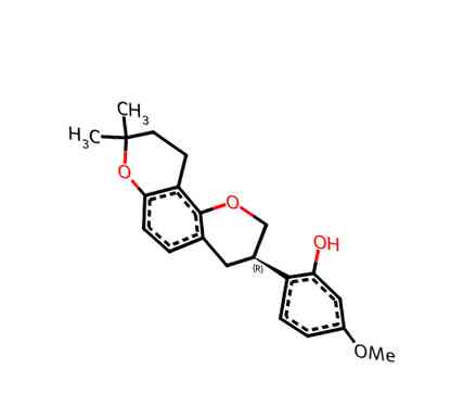 COc1ccc([C@@H]2COc3c(ccc4c3CCC(C)(C)O4)C2)c(O)c1